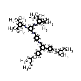 C=C(C)c1cc(/C=C/c2cc(/C=C/c3ccc(/C=C/c4cc(-c5ccc(OCC(CC)CCCC)cc5)cc(-c5ccc(OCC(CC)CCCC)cc5)c4)cc3)cc(/C=C/c3cc(C(C)(C)C)cc(C(C)(C)C)c3)c2)cc(C(=C)C)c1